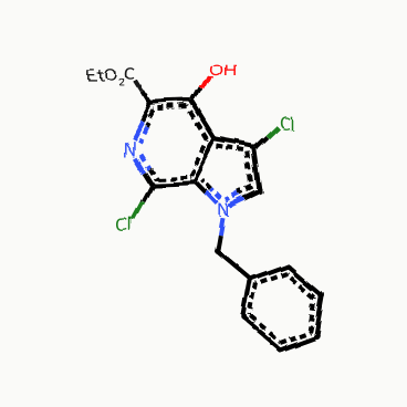 CCOC(=O)c1nc(Cl)c2c(c(Cl)cn2Cc2ccccc2)c1O